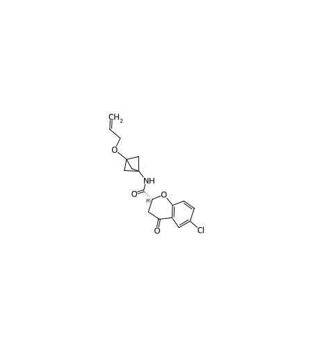 C=CCOC12CC(NC(=O)[C@H]3CC(=O)c4cc(Cl)ccc4O3)(C1)C2